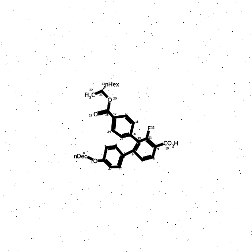 CCCCCCCCCCOc1ccc(-c2ccc(C(=O)O)c(F)c2-c2ccc(C(=O)O[C@H](C)CCCCCC)cc2)cc1